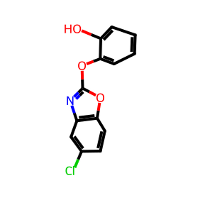 Oc1ccccc1Oc1nc2cc(Cl)ccc2o1